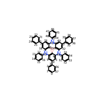 c1ccc(-c2cc3c4c(c2)N(c2ccccc2)c2cc(-c5ccccc5)cc5c2B4c2c(cc(-c4ccccc4)cc2N5c2ccccc2)N3c2ccccc2)cc1